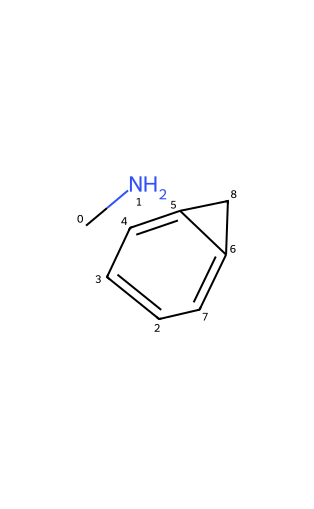 CN.c1ccc2c(c1)C2